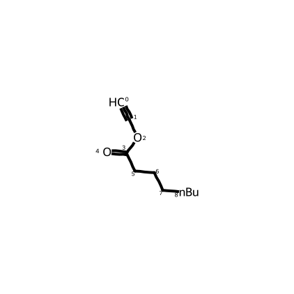 C#COC(=O)CCCCCCC